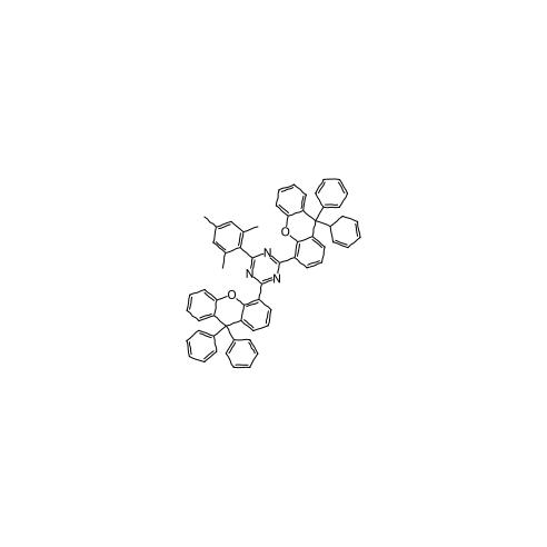 Cc1cc(C)c(-c2nc(-c3cccc4c3Oc3ccccc3C4(c3ccccc3)c3ccccc3)nc(-c3cccc4c3Oc3ccccc3C4(c3ccccc3)C3C=CC=CC3)n2)c(C)c1